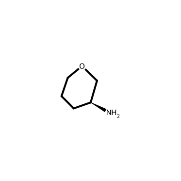 N[C@H]1CCCOC1